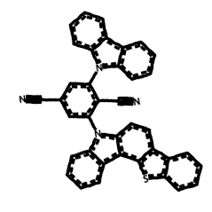 N#Cc1cc(-n2c3ccccc3c3ccccc32)c(C#N)c(-n2c3ccccc3c3c4sc5ccccc5c4ccc32)c1